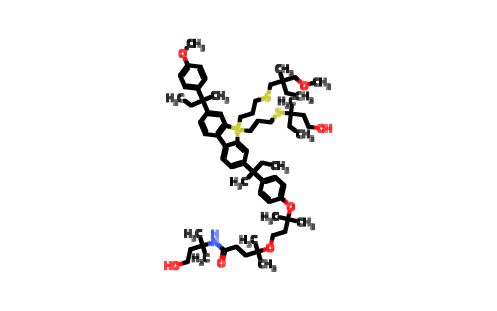 CCC(C)(COC)CSCCCS1(CCCSC(C)(CC)CCO)c2cc(C(C)(CC)c3ccc(OC)cc3)ccc2-c2ccc(C(C)(CC)c3ccc(OC(C)(C)CCOC(C)(C)CCC(=O)NC(C)(C)CCO)cc3)cc21